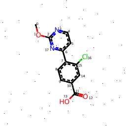 COc1nccc(-c2ccc(C(=O)O)cc2Cl)n1